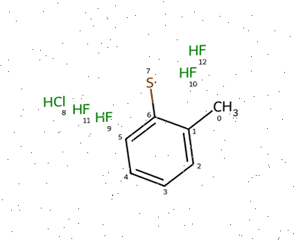 Cc1ccccc1[S].Cl.F.F.F.F